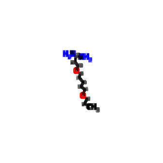 CCCOCCCCCOCCC(N)N